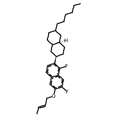 C/C=C/COc1cc2ccc([C@@H]3CC[C@@H]4CC(CCCCCC)CCC4C3)c(F)c2cc1F